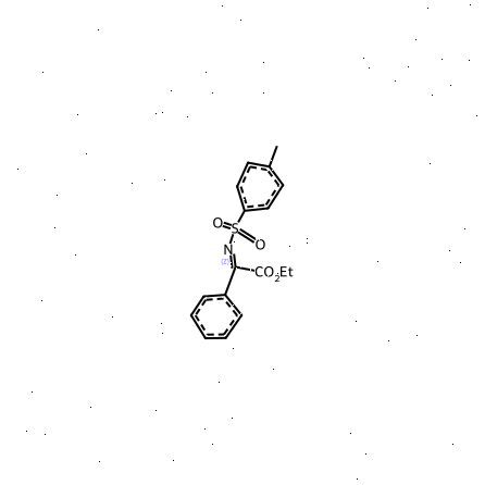 CCOC(=O)/C(=N\S(=O)(=O)c1ccc(C)cc1)c1ccccc1